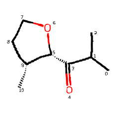 CC(C)C(=O)[C@H]1OCC[C@H]1C